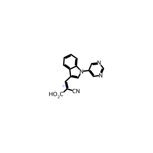 N#C/C(=C\c1cn(-c2cncnc2)c2ccccc12)C(=O)O